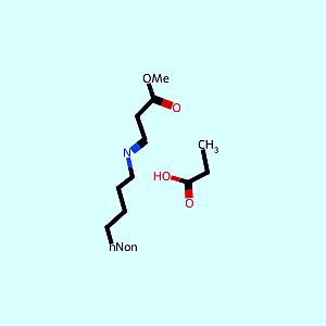 CCC(=O)O.CCCCCCCCCCCCCN=CCC(=O)OC